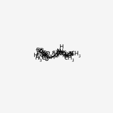 Cc1c(C(=O)NCC#Cc2ccc3nc(Nc4ccc(N(C)C5CCN(C)CC5)cc4)ncc3c2F)c(=O)n(Cc2ccc(F)c(F)c2)n1C